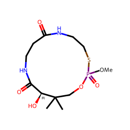 COP1(=O)OCC(C)(C)[C@@H](O)C(=O)NCCC(=O)NCCS1